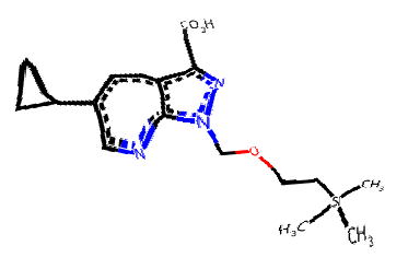 C[Si](C)(C)CCOCn1nc(C(=O)O)c2cc(C3CC3)cnc21